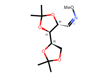 CO/N=C\[C@H]1OC(C)(C)O[C@@H]1[C@H]1COC(C)(C)O1